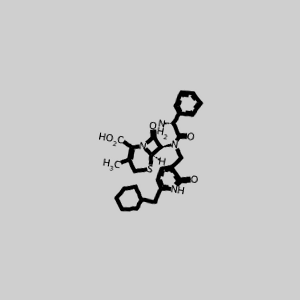 CC1=C(C(=O)O)N2C(=O)[C@@H](N(Cc3ccc(CC4CCCCC4)[nH]c3=O)C(=O)[C@H](N)c3ccccc3)[C@H]2SC1